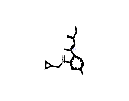 C=C(/C=C(\C)c1ccc(C)cc1NCC1CC1)CC